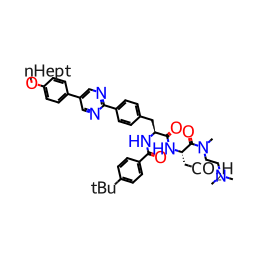 CCCCCCCOc1ccc(-c2cnc(-c3ccc(C[C@H](NC(=O)c4ccc(C(C)(C)C)cc4)C(=O)N[C@@H](CC(=O)O)C(=O)N(C)CCN(C)C)cc3)nc2)cc1